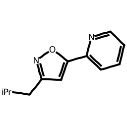 CC(C)Cc1cc(-c2ccccn2)on1